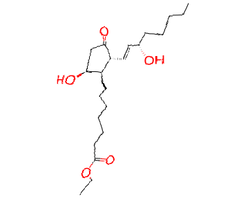 CCCCC[C@H](O)C=C[C@H]1C(=O)C[C@H](O)[C@@H]1CCCCCCC(=O)OCC